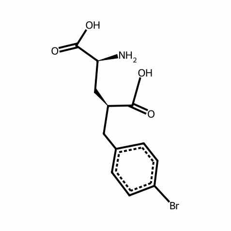 N[C@@H](C[C@H](Cc1ccc(Br)cc1)C(=O)O)C(=O)O